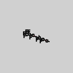 Cc1ccc(-c2ccc(-c3cc(C)c(C#Cc4ccc(-c5cc(F)c6c(F)c(F)c(F)cc6c5)c(F)c4)c(F)c3)c(F)c2)cc1